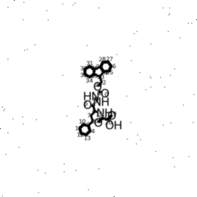 O=C(NNC(=O)C(CCc1ccccc1)NC(=O)C(=O)O)OCC1c2ccccc2-c2ccccc21